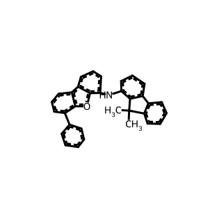 CC1(C)c2ccccc2-c2cccc(Nc3cccc4c3oc3c(-c5ccccc5)cccc34)c21